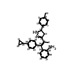 C/C(C1=NNC(c2ccc(C)cc2)C1)=C(/c1ccc(C2CC2)cc1)c1ccccc1N